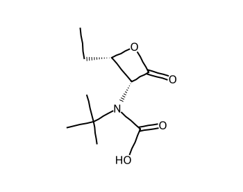 CC[C@@H]1OC(=O)[C@@H]1N(C(=O)O)C(C)(C)C